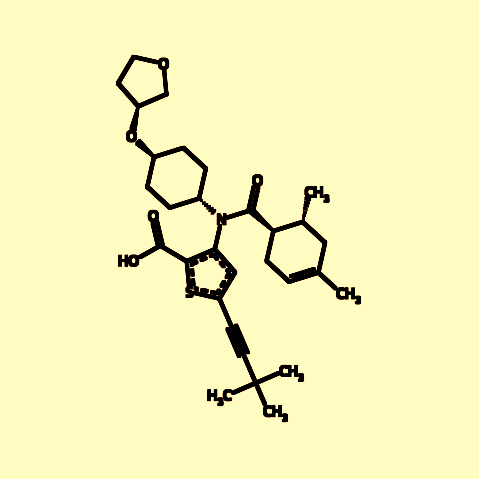 CC1=CC[C@@H](C(=O)N(c2cc(C#CC(C)(C)C)sc2C(=O)O)[C@H]2CC[C@H](O[C@H]3CCOC3)CC2)[C@H](C)C1